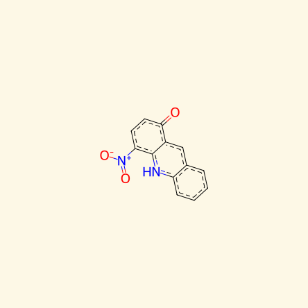 O=c1ccc([N+](=O)[O-])c2[nH]c3ccccc3cc1-2